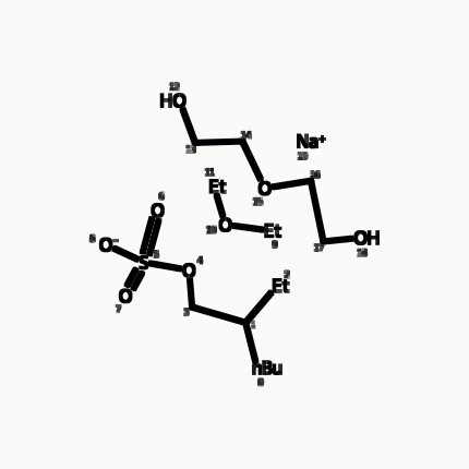 CCCCC(CC)COS(=O)(=O)[O-].CCOCC.OCCOCCO.[Na+]